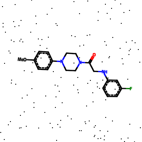 COc1ccc(N2CCN(C(=O)CNc3cccc(F)c3)CC2)cc1